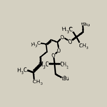 CC(C)=CCCC(C)=CC(OOC(C)(C)CC(C)(C)C)OOC(C)(C)CC(C)(C)C